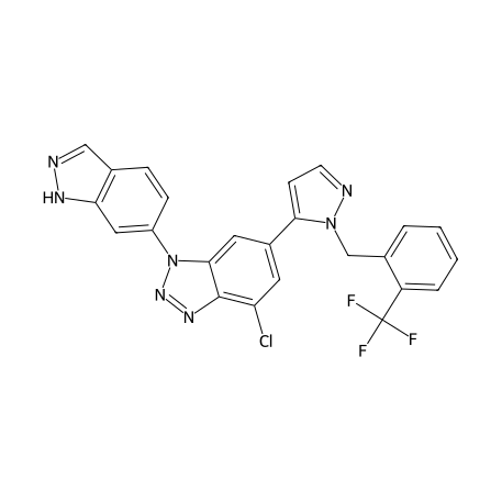 FC(F)(F)c1ccccc1Cn1nccc1-c1cc(Cl)c2nnn(-c3ccc4cn[nH]c4c3)c2c1